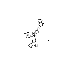 CC(C)(Cc1nc2cc(OCc3ccc4ccccc4n3)ccc2n1Cc1ccc(-c2ccccc2C#N)cc1)C(=O)O